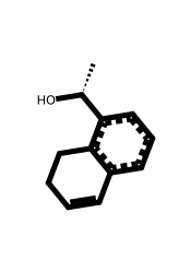 C[C@@H](O)c1cccc2c1CCC=C2